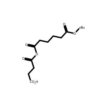 CCCCOC(=O)CCCCC(=O)OC(=O)CCC(=O)O